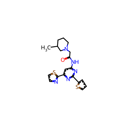 CC1CCCN(CC(=O)Nc2cc(-c3nccs3)nc(-c3cccs3)n2)C1